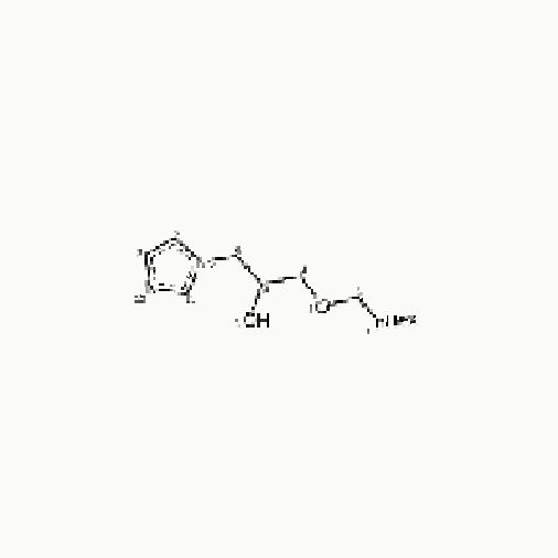 CCCCCCCOCC(O)Cn1ccnc1